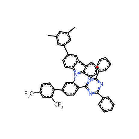 Cc1cc(C)cc(-c2ccc3c(c2)c2ccccc2n3-c2cc(-c3ccc(C(F)(F)F)cc3C(F)(F)F)ccc2-c2nc(-c3ccccc3)nc(-c3ccccc3)n2)c1